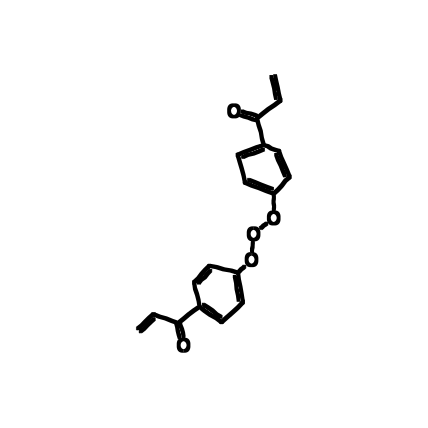 C=CC(=O)c1ccc(OOOc2ccc(C(=O)C=C)cc2)cc1